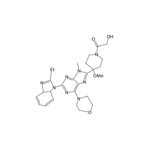 CCC1=NC2C=CC=CC2N1c1nc(N2CCOCC2)c2nc(C3(OC)CCN(C(=O)CO)CC3)n(C)c2n1